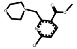 COC(=O)c1ccc(Cl)nc1CN1CCOCC1